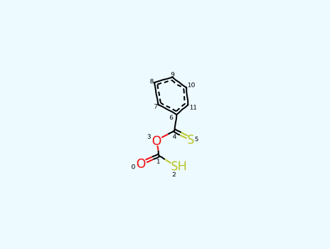 O=C(S)OC(=S)c1ccccc1